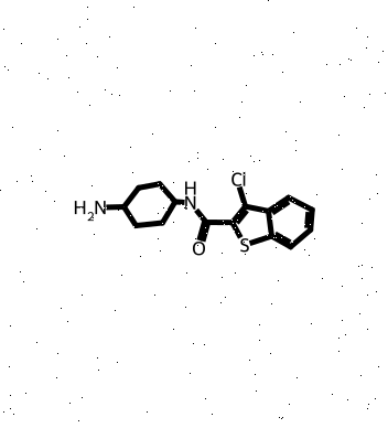 NC1CCC(NC(=O)c2sc3ccccc3c2Cl)CC1